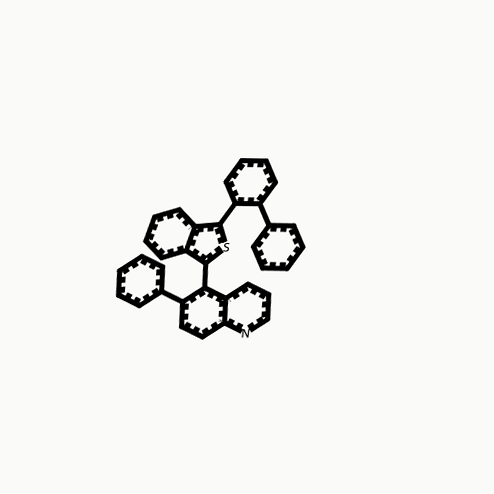 c1ccc(-c2ccccc2-c2sc(-c3c(-c4ccccc4)ccc4ncccc34)c3ccccc23)cc1